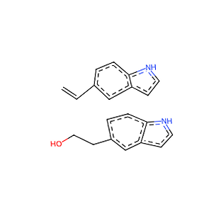 C=Cc1ccc2[nH]ccc2c1.OCCc1ccc2[nH]ccc2c1